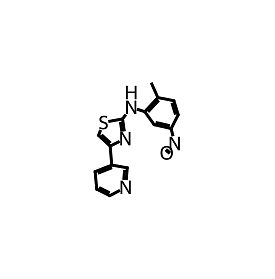 Cc1ccc(N=O)cc1Nc1nc(-c2cccnc2)cs1